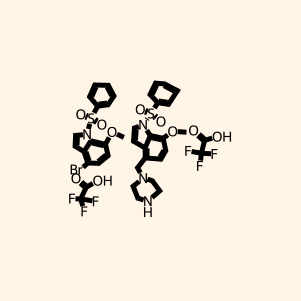 COc1ccc(Br)c2ccn(S(=O)(=O)c3ccccc3)c12.COc1ccc(CN2CCNCC2)c2ccn(S(=O)(=O)c3ccccc3)c12.O=C(O)C(F)(F)F.O=C(O)C(F)(F)F